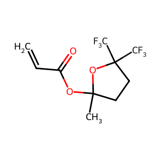 C=CC(=O)OC1(C)CCC(C(F)(F)F)(C(F)(F)F)O1